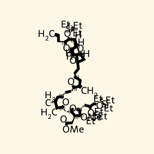 C=CC[C@@H]1O[C@@H]2[C@H]3O[C@@H]4CC(CC[C@H]5CC(=C)[C@H](CC[C@H]6C[C@@H](C)C(=C)[C@@H](C[C@@H]7O[C@H](CC(CO[Si](CC)(CC)CC)O[Si](CC)(CC)CC)[C@H](OC)[C@H]7CC(=O)OC)O6)O5)(O[C@H]3[C@H]1O[Si](CC)(CC)CC)O[C@H]24